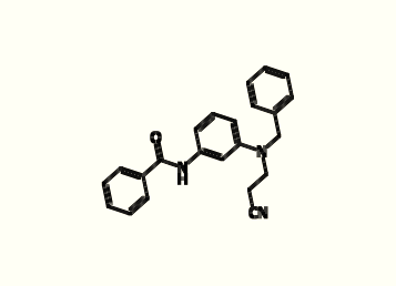 N#CCCN(Cc1ccccc1)c1cccc(NC(=O)c2ccccc2)c1